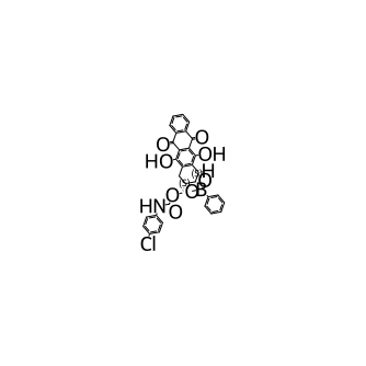 O=C(Nc1ccc(Cl)cc1)OC[C@]12Cc3c(O)c4c(c(O)c3[C@H](C1)OB(c1ccccc1)O2)C(=O)c1ccccc1C4=O